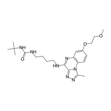 COCCOc1ccc2c(c1)nc(NCCCCNC(=O)NC(C)(C)C)c1nnc(C)n12